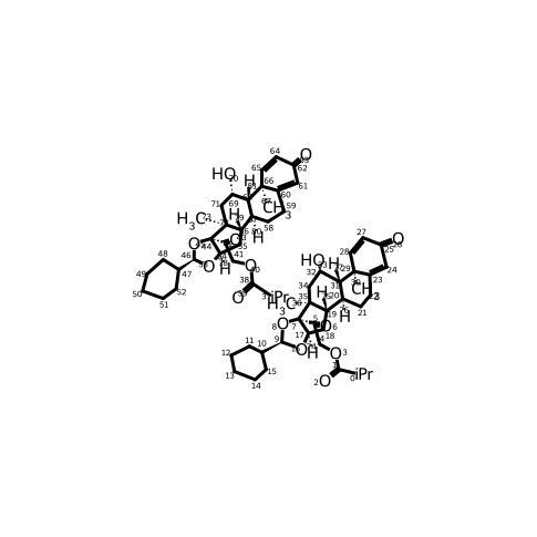 CC(C)C(=O)OCC(=O)[C@@]12O[C@H](C3CCCCC3)O[C@@H]1C[C@H]1[C@@H]3CCC4=CC(=O)C=C[C@]4(C)[C@H]3[C@@H](O)C[C@@]12C.CC(C)C(=O)OCC(=O)[C@@]12O[C@H](C3CCCCC3)O[C@@H]1C[C@H]1[C@@H]3CCC4=CC(=O)C=C[C@]4(C)[C@H]3[C@@H](O)C[C@@]12C